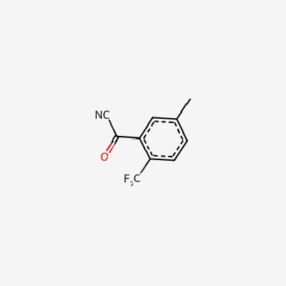 Cc1ccc(C(F)(F)F)c(C(=O)C#N)c1